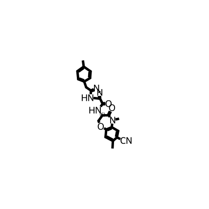 Cc1ccc(Cc2nnc(C(=O)N[C@H]3COc4cc(C)c(C#N)cc4N(C)C3=O)[nH]2)cc1